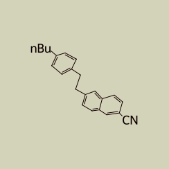 CCCCc1ccc(CCc2ccc3cc(C#N)ccc3c2)cc1